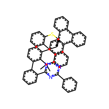 CC1(C)c2ccccc2C2(c3ccccc3Sc3ccccc32)c2cccc(-c3ccccc3-c3nc(-c4ccccc4)nc(-c4ccc5c6ccccc6c6ccccc6c5c4)n3)c21